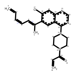 C=C/C=C\C=C(/C)c1cc2c(N3CCN(C(=O)C=C)CC3)ncnc2cc1Cl